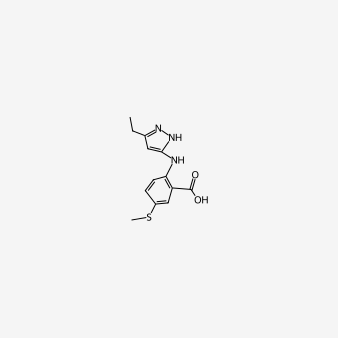 CCc1cc(Nc2ccc(SC)cc2C(=O)O)[nH]n1